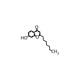 CCCCCCCc1cc(=O)c2ccc(O)cc2o1